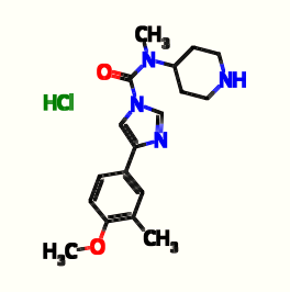 COc1ccc(-c2cn(C(=O)N(C)C3CCNCC3)cn2)cc1C.Cl